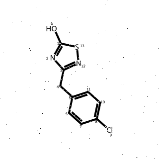 Oc1nc(Cc2ccc(Cl)cc2)ns1